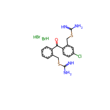 Br.Br.N=C(N)SCc1ccccc1C(=O)c1ccc(Cl)cc1CSC(=N)N